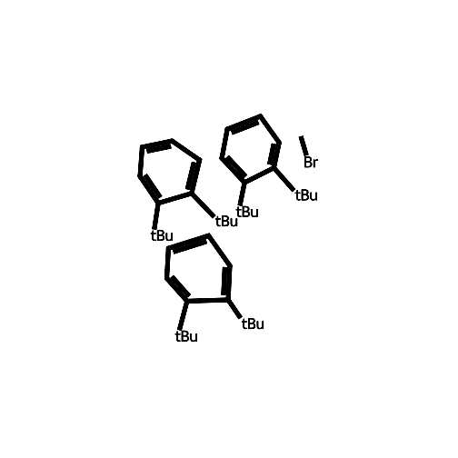 CBr.CC(C)(C)c1ccccc1C(C)(C)C.CC(C)(C)c1ccccc1C(C)(C)C.CC(C)(C)c1ccccc1C(C)(C)C